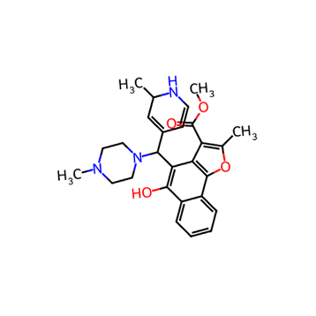 COC(=O)c1c(C)oc2c1c(C(C1=CC(C)NC=C1)N1CCN(C)CC1)c(O)c1ccccc12